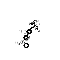 C=C(/C=C/c1ccc(-c2ccc(N(C)C3CCCCC3)nn2)c(C)c1)NC